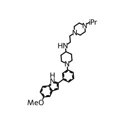 COc1ccc2[nH]c(-c3cccc(N4CCC(NCCN5CCN(C(C)C)CC5)CC4)c3)cc2c1